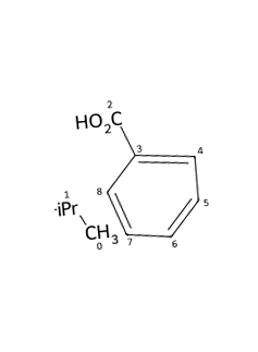 C[C](C)C.O=C(O)c1ccccc1